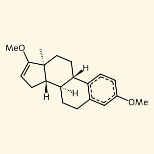 COC1=CC[C@H]2[C@@H]3CCc4cc(OC)ccc4[C@H]3CC[C@]12C